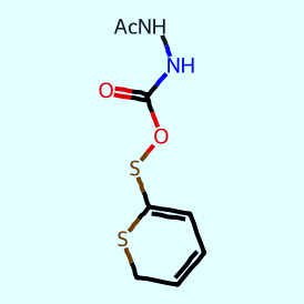 CC(=O)NNC(=O)OSC1=CC=CCS1